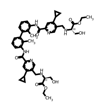 CCOC(=O)[C@H](CO)NCc1cnc(C(=O)Nc2cccc(-c3cccc(NC(=O)c4cc(C5CC5)c(CN[C@@H](CO)C(=O)OCC)cn4)c3C)c2C)cc1C1CC1